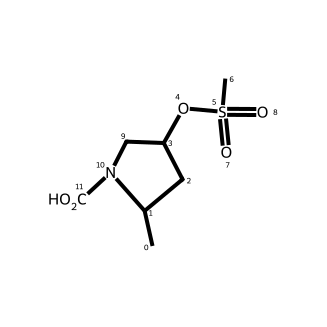 CC1CC(OS(C)(=O)=O)CN1C(=O)O